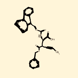 CC#CC(C(=O)OCc1ccccc1)[C@@H](NC(=O)OCC1c2ccccc2-c2ccccc21)C(=O)O